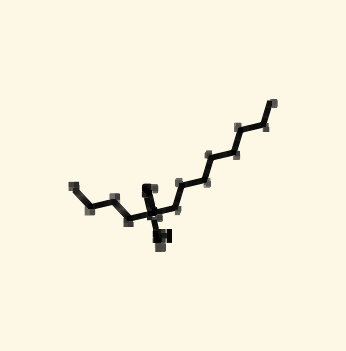 CCCCCCCCP(=S)(S)CCCC